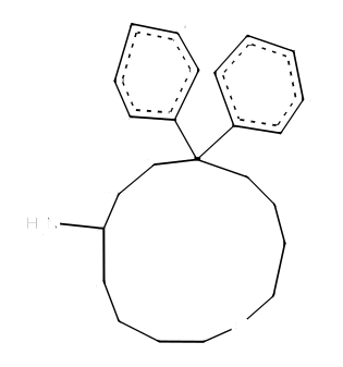 NC1CCCCCCCCCC(c2ccccc2)(c2ccccc2)CC1